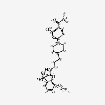 CN(C)C(=O)c1ccc(N2CCC(CCCNC(=O)[C@](O)(c3cccc(OC(F)(F)F)c3)C(F)(F)F)CC2)nc1Cl